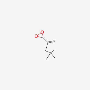 C=C(CC(C)(C)C)[C]1OO1